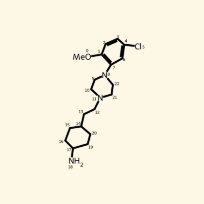 COc1ccc(Cl)cc1N1CCN(CCC2CCC(N)CC2)CC1